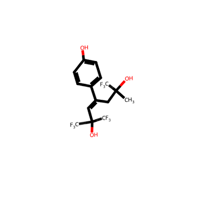 CC(O)(C/C(=C\C(O)(C(F)(F)F)C(F)(F)F)c1ccc(O)cc1)C(F)(F)F